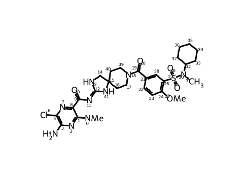 CNc1nc(N)c(Cl)nc1C(=O)/N=C1\NCC2(CCN(C(=O)c3ccc(OC)c(S(=O)(=O)N(C)C4CCCCC4)c3)CC2)N1